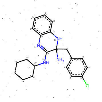 NC1(Cc2ccc(Cl)cc2)Nc2ccccc2N=C1NC1CCCCC1